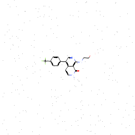 Cn1ccc2c(-c3ccc(C(F)(F)F)cc3)cnc(NCCO)c2c1=O